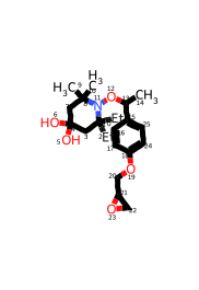 CCC1(CC)CC(O)(O)CC(C)(C)N1OC(C)c1ccc(OCC2CO2)cc1